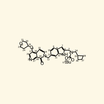 CC(C)(C)OC(=O)N(Cc1cc2ccc(Cn3ccc4c(OC5CCOCC5)cncc4c3=O)cc2[nH]1)CC1CCC1